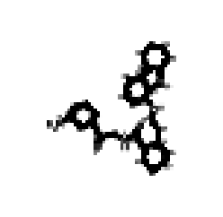 Nc1cccc(C(=O)CNC(=O)c2ccccc2CCOc2cccc3c4c(sc23)CCCC4)c1